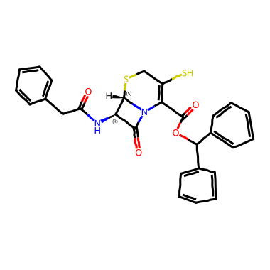 O=C(Cc1ccccc1)N[C@@H]1C(=O)N2C(C(=O)OC(c3ccccc3)c3ccccc3)=C(S)CS[C@@H]12